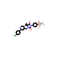 O=C1N(c2ccc(S(=O)(=O)C(F)(F)F)cc2)C(=O)C2(CC2)N1Cc1ccnc(-c2ccc(Cl)cc2)c1